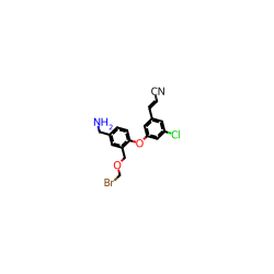 N#C/C=C/c1cc(Cl)cc(Oc2ccc(CN)cc2COCBr)c1